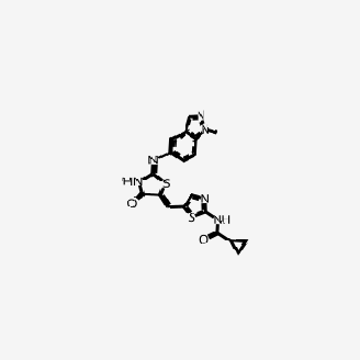 Cn1ncc2cc(/N=C3/NC(=O)/C(=C/c4cnc(NC(=O)C5CC5)s4)S3)ccc21